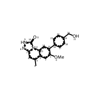 COc1cc2c(C)cc3n[nH]c(=O)n3c2cc1-c1ccc(CO)cc1